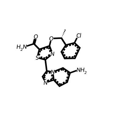 C[C@@H](Oc1nc(-c2cnc3ccc(N)cn23)sc1C(N)=O)c1ccccc1Cl